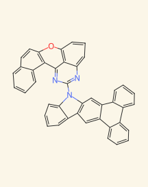 c1ccc2c3c(ccc2c1)Oc1cccc2nc(-n4c5ccccc5c5cc6c7ccccc7c7ccccc7c6cc54)nc-3c12